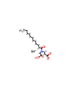 CCCCCCCCCCCC(=O)N(CCC(=O)[O-])CC(=O)O.[Na+]